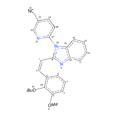 COc1cccc(/C=C\c2nc3ccccc3n2-c2ccc(C#N)cn2)c1OCC(C)C